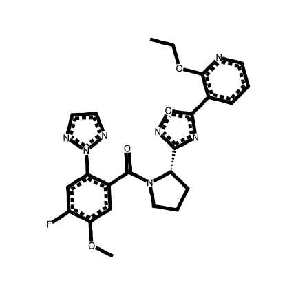 CCOc1ncccc1-c1nc([C@@H]2CCCN2C(=O)c2cc(OC)c(F)cc2-n2nccn2)no1